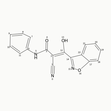 N#C/C(C(=O)Nc1ccccc1)=C(/O)c1noc2ccccc12